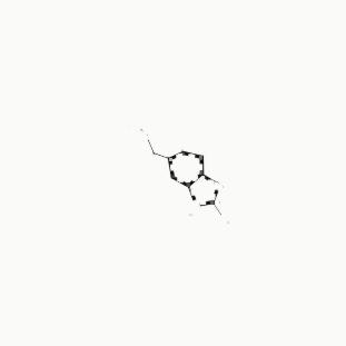 O=C(O)NCc1ccc2nc(S)sc2c1